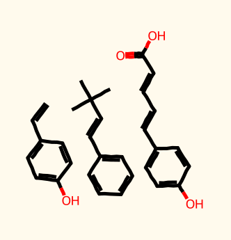 C=Cc1ccc(O)cc1.CC(C)(C)C=Cc1ccccc1.O=C(O)C=CC=Cc1ccc(O)cc1